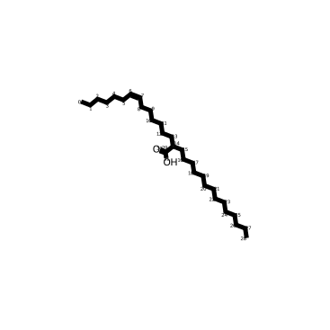 CCCCCC/C=C\CCCCCCC(CCCCCCCCCCCCCC)C(=O)O